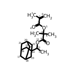 C=C(C)C(=O)OC(C)(C)C(=O)OC(C)C12CC3CC(CC(C3)C1)C2